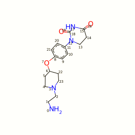 NCCN1CCC(Oc2ccc(N3CCC(=O)NC3=O)cc2)CC1